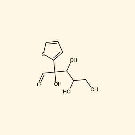 O=CC(O)(c1cccs1)C(O)C(O)CO